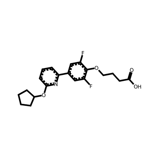 O=C(O)CCCOc1c(F)cc(-c2cccc(OC3CCCC3)n2)cc1F